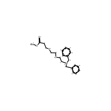 CC(C)(C)OC(=O)CCOCCOCCN(Cc1ccccc1)Cc1ccccc1